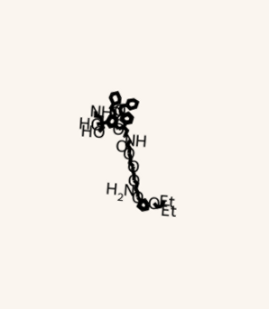 CCC(CC)COc1cccc(OCC(N)COCCOCCOCC(=O)NCCC(Oc2cc(OCC3CCCCC3)cc(C(O)(CO)CCN)c2)c2cccc(OCC3CCCCC3)c2)c1